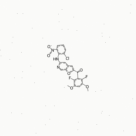 COc1cc(OC)c(F)c(C(=O)c2cc3cc(Nc4c(Cl)cccc4[N+](=O)[O-])ncc3o2)c1F